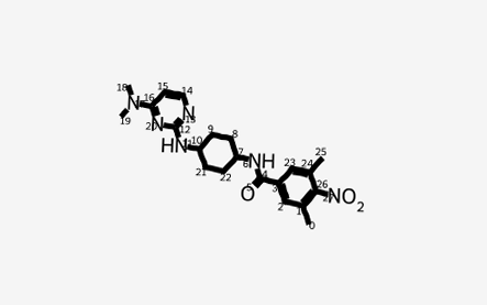 Cc1cc(C(=O)NC2CCC(Nc3nccc(N(C)C)n3)CC2)cc(C)c1[N+](=O)[O-]